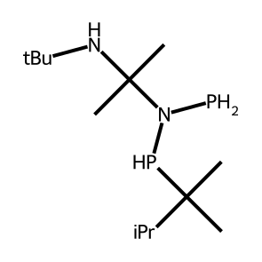 CC(C)C(C)(C)PN(P)C(C)(C)NC(C)(C)C